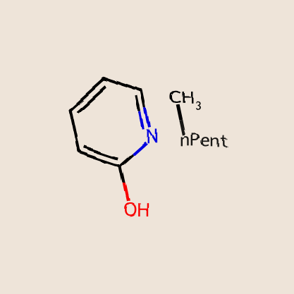 CCCCCC.Oc1ccccn1